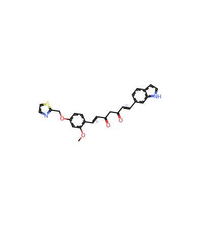 COc1cc(OCc2nccs2)ccc1/C=C/C(=O)CC(=O)/C=C/c1ccc2cc[nH]c2c1